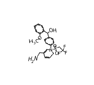 COc1ccccc1C(O)c1ccc([N+]2(S(=O)(=O)CC(F)(F)F)C=C(CN)C=CC2)cc1